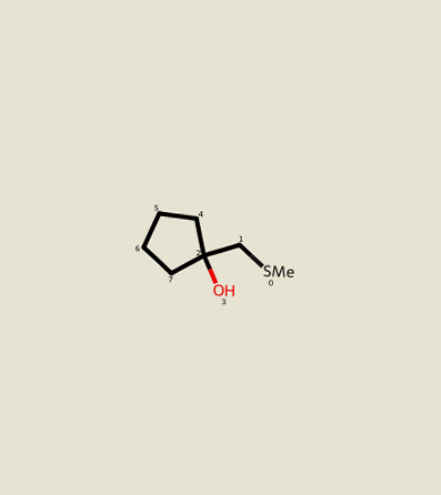 CSCC1(O)CCCC1